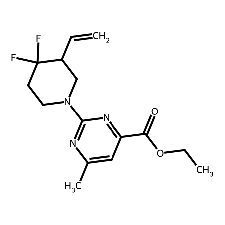 C=CC1CN(c2nc(C)cc(C(=O)OCC)n2)CCC1(F)F